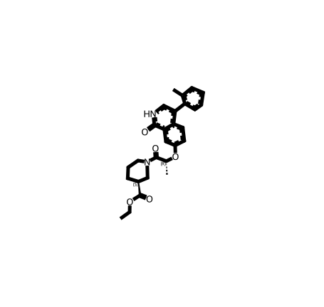 CCOC(=O)[C@H]1CCCN(C(=O)[C@@H](C)Oc2ccc3c(-c4ccccc4C)c[nH]c(=O)c3c2)C1